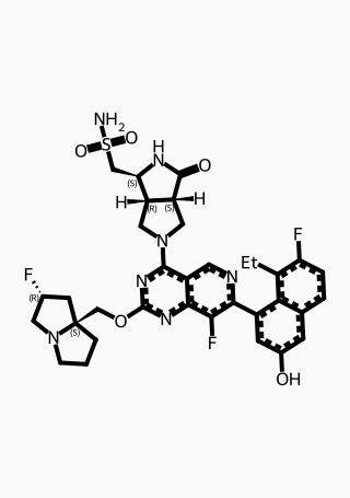 CCc1c(F)ccc2cc(O)cc(-c3ncc4c(N5C[C@@H]6[C@@H](CS(N)(=O)=O)NC(=O)[C@@H]6C5)nc(OC[C@@]56CCCN5C[C@H](F)C6)nc4c3F)c12